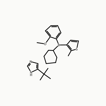 CC(C)(C)c1cnc[nH]1.COc1ccccc1B(c1ccsc1C)C1CCCCC1